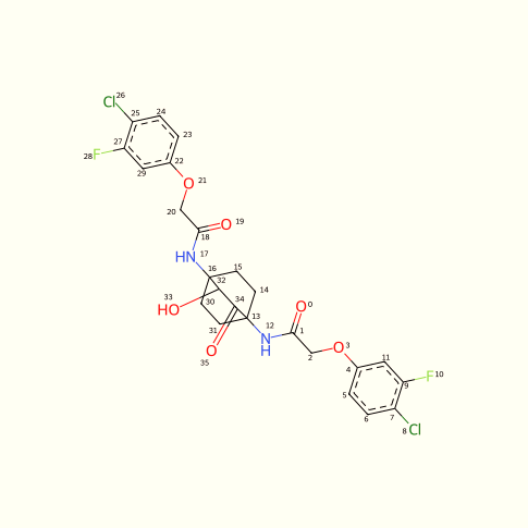 O=C(COc1ccc(Cl)c(F)c1)NC12CCC(NC(=O)COc3ccc(Cl)c(F)c3)(CC1)C(O)C2=O